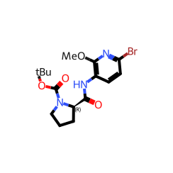 COc1nc(Br)ccc1NC(=O)[C@H]1CCCN1C(=O)OC(C)(C)C